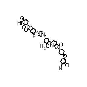 C=C1CC[C@@H](CN2CCN(c3cc4c(cc3F)C(=O)N(C3CCC(=O)NC3=O)C4)CC2)CC1c1ccc2c(n1)CN([C@H]1CC[C@H](Oc3ccc(C#N)c(Cl)c3)CC1)C2=O